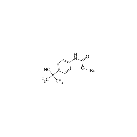 CC(C)(C)OC(=O)Nc1ccc(C(C#N)(C(F)(F)F)C(F)(F)F)cc1